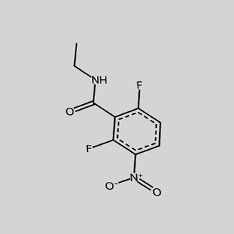 CCNC(=O)c1c(F)ccc([N+](=O)[O-])c1F